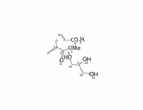 C=C(C)C(=O)OC.C=CC(=O)O.OCC(O)CO